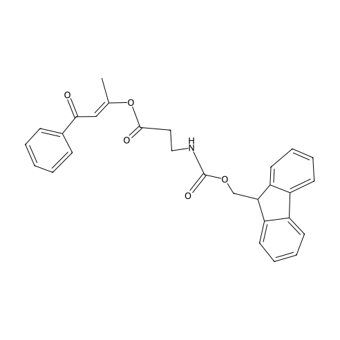 CC(=CC(=O)c1ccccc1)OC(=O)CCNC(=O)OCC1c2ccccc2-c2ccccc21